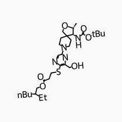 CCCCC(CC)COC(=O)CCSc1ncc(N2CCC3(CC2)CO[C@@H](C)[C@H]3NC(=O)OC(C)(C)C)nc1CO